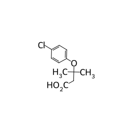 CC(C)(CC(=O)O)Oc1ccc(Cl)cc1